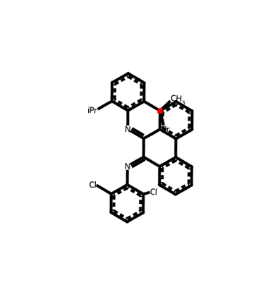 CC(C)c1cccc(C(C)Br)c1/N=C1/C(=N/c2c(Cl)cccc2Cl)c2ccccc2-c2ccccc21